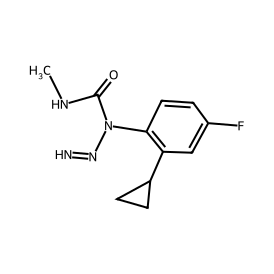 CNC(=O)N(N=N)c1ccc(F)cc1C1CC1